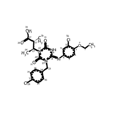 CCOc1ccc(/N=c2\[nH]c(=O)n([C@@H](C)[C@@H](C)C(=O)O)c(=O)n2Cc2ccc(Cl)cc2)cc1Cl